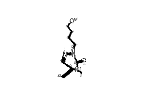 C=C1C=NN(CCCCCl)C(=O)N1C